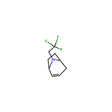 FC(F)(F)CN1C2C=CCC1CC2